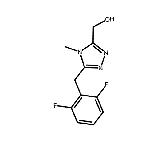 Cn1c(CO)nnc1Cc1c(F)cccc1F